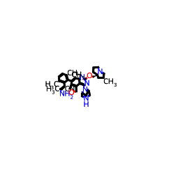 C/C(N)=C(/C#N)c1c(C)ccc(C)c1-c1c2c(c3c(N4C5CNCC4C5)nc(OC[C@@]45CCCN4C[C@H](C)C5)nc3c1C)COC2